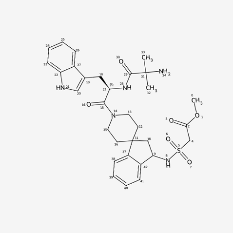 COC(=O)CS(=O)(=O)NC1CC2(CCN(C(=O)[C@@H](Cc3c[nH]c4ccccc34)NC(=O)C(C)(C)N)CC2)c2ccccc21